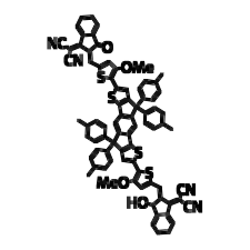 COc1cc(/C=C2\C(=O)c3ccccc3C2=C(C#N)C#N)sc1-c1cc2c(s1)-c1cc3c(cc1C2(c1ccc(C)cc1)c1ccc(C)cc1)-c1sc(-c2sc(/C=C4/C(=C(C#N)C#N)c5ccccc5C4O)cc2OC)cc1C3(c1ccc(C)cc1)c1ccc(C)cc1